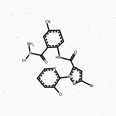 CCN(N)C(=O)c1cc(C#N)ccc1NC(=O)c1cc(Br)nn1-c1ncccc1Cl